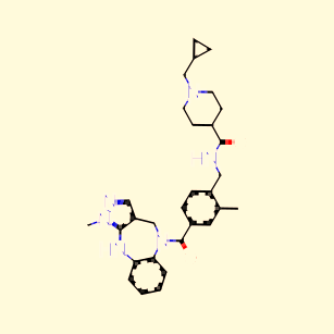 Cc1cc(C(=O)N2Cc3cnn(C)c3Nc3ccccc32)ccc1CNC(=O)C1CCN(CC2CC2)CC1